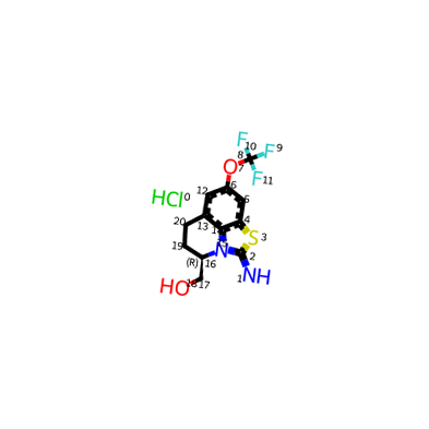 Cl.N=c1sc2cc(OC(F)(F)F)cc3c2n1[C@@H](CO)CC3